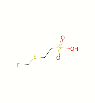 O=S(=O)(O)CCSCF